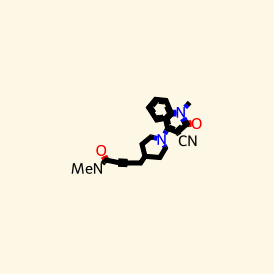 CNC(=O)C#CCC1CCN(c2c(C#N)c(=O)n(C)c3ccccc23)CC1